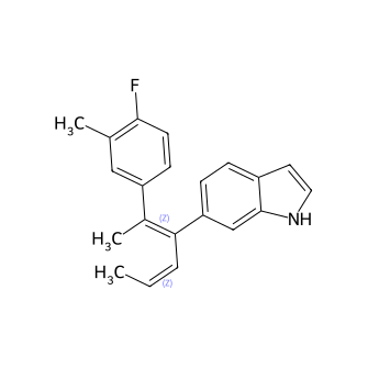 C/C=C\C(=C(/C)c1ccc(F)c(C)c1)c1ccc2cc[nH]c2c1